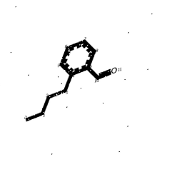 CCCCc1ccccc1C=O